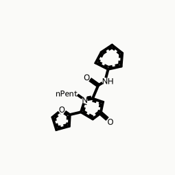 CCCCCn1c(C(=O)Nc2ccccc2)cc(=O)cc1-c1ccco1